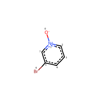 [O-][n+]1[c]ccc(Br)c1